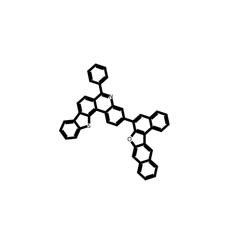 c1ccc(-c2nc3cc(-c4cc5ccccc5c5c4oc4cc6ccccc6cc45)ccc3c3c2ccc2c4ccccc4sc23)cc1